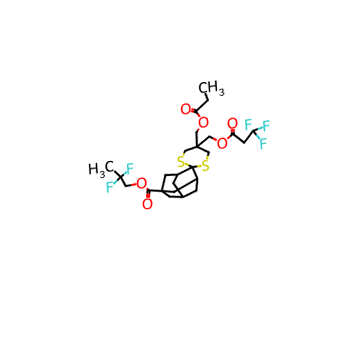 CCC(=O)OCC1(COC(=O)CC(F)(F)F)CSC2(SC1)C1CC3CC2CC(C(=O)OCC(C)(F)F)(C3)C1